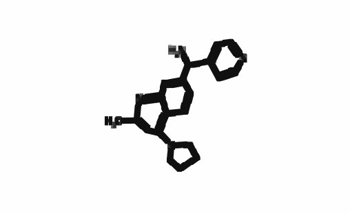 Cc1cc(N2CCCC2)c2ccc(C(N)c3ccncc3)cc2n1